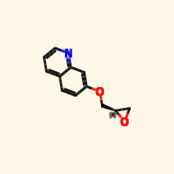 c1cnc2cc(OC[C@H]3CO3)ccc2c1